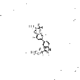 COC(F)(F)c1nnc2ccc(-c3cnc(OC(C)C(F)(F)F)c(F)c3)cn12